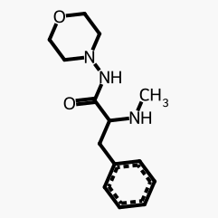 CNC(Cc1ccccc1)C(=O)NN1CCOCC1